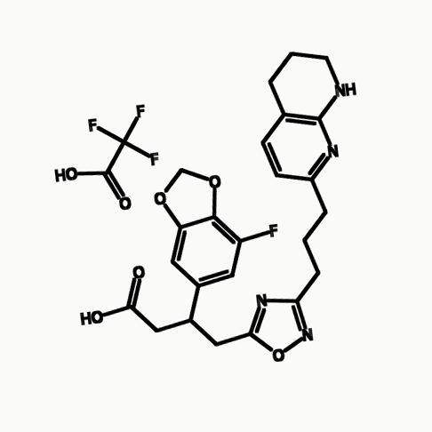 O=C(O)C(F)(F)F.O=C(O)CC(Cc1nc(CCCc2ccc3c(n2)NCCC3)no1)c1cc(F)c2c(c1)OCO2